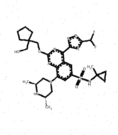 C[C@H]1CN(c2cc(S(=O)(=O)NC3(C)CC3)cc3c(-c4nnc(C(F)F)s4)nc(OCC4(CO)CCCC4)nc23)C[C@H](C)N1